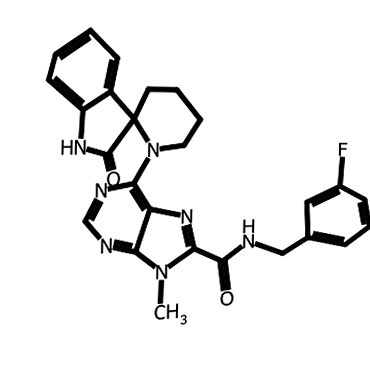 Cn1c(C(=O)NCc2cccc(F)c2)nc2c(N3CCCCC34C(=O)Nc3ccccc34)ncnc21